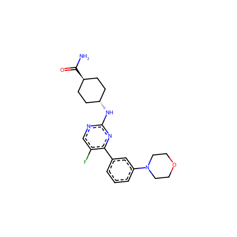 NC(=O)[C@H]1CC[C@H](Nc2ncc(F)c(-c3cccc(N4CCOCC4)c3)n2)CC1